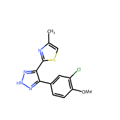 COc1ccc(-c2n[nH]nc2-c2nc(C)cs2)cc1Cl